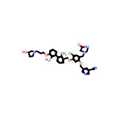 Cc1c(COc2cc(OCc3cncc(C#N)c3)c(CN3CCNC(=O)C3)cc2Cl)cccc1-c1cccc(OCCCN2CC[C@@H](O)C2)c1C